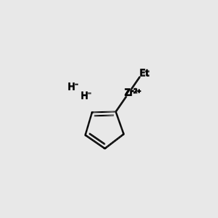 C[CH2][Zr+2][C]1=CC=CC1.[H-].[H-]